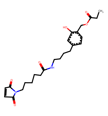 CCC(=O)OCc1ccc(CCCCNC(=O)CCCCCN2C(=O)C=CC2=O)cc1O